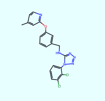 Cc1ccnc(Oc2cccc(CNc3nnnn3-c3cccc(Cl)c3Cl)c2)c1